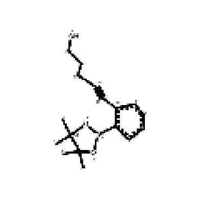 CC1(C)OB(c2ccccc2C#CCCCO)OC1(C)C